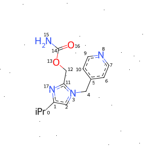 CC(C)c1cn(Cc2ccncc2)c(COC(N)=O)n1